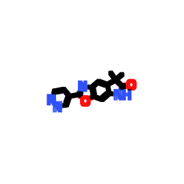 CC1(C)C(=O)Nc2cc3oc(-c4ccnnc4)nc3cc21